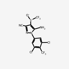 N#Cc1nn(-c2cc(Cl)c(C(F)(F)F)c(Cl)c2)c(N)c1[S+]([O-])C(F)(F)F